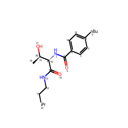 CCCCc1ccc(C(=O)N[C@H](C(=O)NCCC(C)C)[C@@H](C)O)cc1